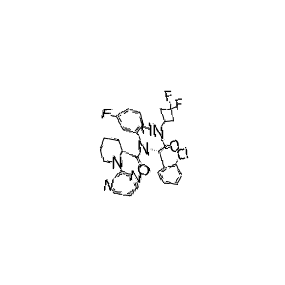 O=C(NC1CC(F)(F)C1)[C@H](c1ccccc1Cl)N(C(=O)[C@@H]1CCCCN1c1ncccn1)c1cccc(F)c1